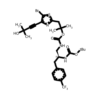 CC(C)(O)C#Cc1nc(CC(C)(C)OC(=O)NC[C@H](Cc2ccc(C(F)(F)F)cc2)NC(=O)OC(C)(C)C)sc1Br